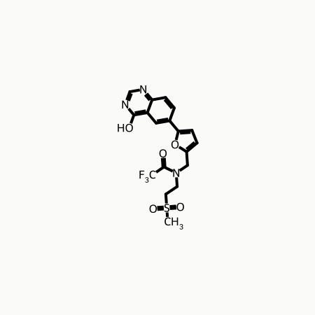 CS(=O)(=O)CCN(Cc1ccc(-c2ccc3ncnc(O)c3c2)o1)C(=O)C(F)(F)F